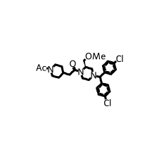 COC[C@H]1CN(C(c2ccc(Cl)cc2)c2ccc(Cl)cc2)CCN1C(=O)CC1CCN(C(C)=O)CC1